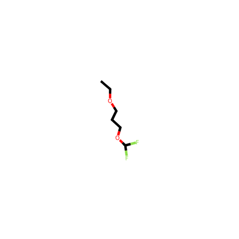 CCOCCCO[C](F)F